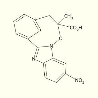 CC1(C(=O)O)Cc2cccc(c2)-c2nc3ccc([N+](=O)[O-])cc3n2O1